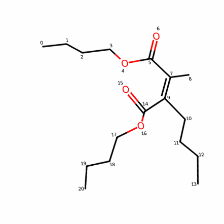 CCCCOC(=O)C(C)=C(CCCC)C(=O)OCCCC